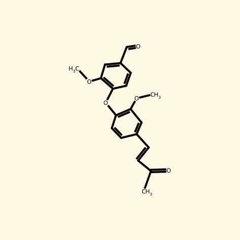 COc1cc(C=O)ccc1Oc1ccc(C=CC(C)=O)cc1OC